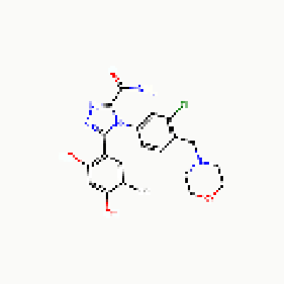 CC(C)c1cc(-c2nnc(C(N)=O)n2-c2ccc(CN3CCOCC3)c(Cl)c2)c(O)cc1O